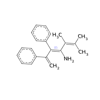 C=C(/C(=C(\N)C(C)=C(C)C)c1ccccc1)c1ccccc1